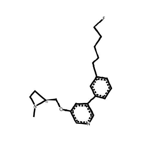 CN1CC[C@H]1COc1cncc(-c2cccc(CCCCCF)c2)c1